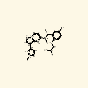 C[C@H](c1cc(F)ccc1OCC(F)F)N(C)c1ccn2ncc(-c3ccn(C)n3)c2n1